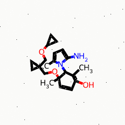 CC1=C(O)C=CC(C)(OCC2(COC3CC3)CC2)C1n1c(C)ccc1N